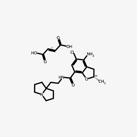 C[C@H]1Cc2c(N)c(Cl)cc(C(=O)NCCC34CCCN3CCC4)c2O1.O=C(O)/C=C/C(=O)O